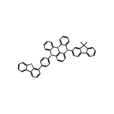 CC1(C)c2ccccc2-c2ccc(N3c4ccccc4B4c5ccccc5N(c5ccc(-c6cccc7c6sc6ccccc67)cc5)c5cccc3c54)cc21